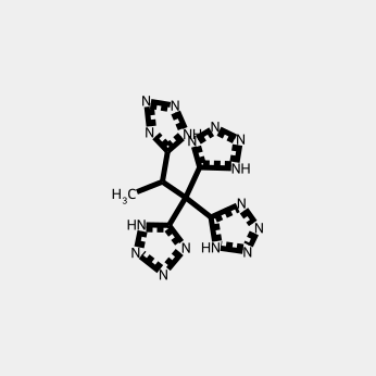 CC(c1nnn[nH]1)C(c1nnn[nH]1)(c1nnn[nH]1)c1nnn[nH]1